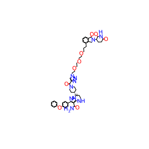 NC(=O)c1c(-c2ccc(Oc3ccccc3)cc2)nn2c1NCC[C@H]2C1CCN(C(=O)c2cn(CCOCCOCCOCCCc3cccc4c3CN(C3CCC(=O)NC3=O)C4=O)nn2)CC1